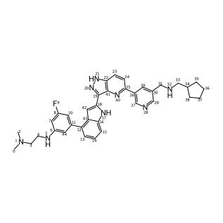 CN(C)CCNc1cc(F)cc(-c2cccc3[nH]c(-c4n[nH]c5ccc(-c6cncc(CNCC7CCCC7)c6)nc45)cc23)c1